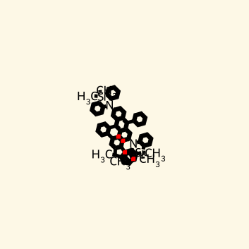 CC1(C)c2ccccc2-c2ccc(-c3ccccc3-c3c4ccc(N5c6ccccc6[Si](C)(C)c6ccccc65)cc4c(-c4ccccc4)c4ccc(N5c6ccccc6[Si](C)(C)c6ccccc65)cc34)cc21